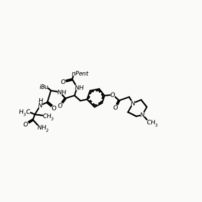 CCCCCC(=O)NC(Cc1ccc(OC(=O)CN2CCN(C)CC2)cc1)C(=O)NC(C(=O)NC(C)(C)C(N)=O)C(C)CC